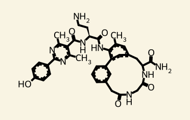 Cc1cc2cc(c1NC(=O)[C@H](CCN)NC(=O)c1c(C)nc(-c3ccc(O)cc3)nc1C)-c1cccc(c1)CC(=O)NCC(=O)NC(C(N)=O)C2